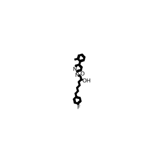 Cc1ccccc1-c1cnc2nc(C(O)CCCCCc3ccc(F)cc3)oc2c1